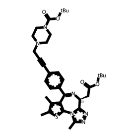 Cc1sc2c(c1C)C(c1ccc(C#CCN3CCN(C(=O)OC(C)(C)C)CC3)cc1)=N[C@@H](CC(=O)OC(C)(C)C)c1nnc(C)n1-2